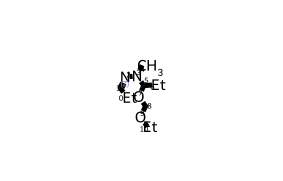 CC/C=N\N(C)C(CC)OCOCC